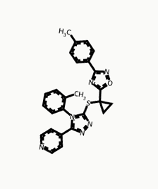 Cc1ccc(-c2noc(C3(Sc4nnc(-c5ccncc5)n4-c4ccccc4C)CC3)n2)cc1